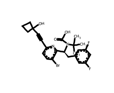 CC(C)(C)N(C(=O)O)[C@@H](Cc1cc(F)cc(F)c1)c1nc(C#CC2(O)CCC2)ccc1Br